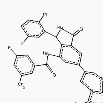 N#Cc1cnc2ncc(-c3cc(NC(=O)c4cc(F)cc(C(F)(F)F)c4)c4c(c3)C(=O)NC4c3cc(F)ccc3Cl)cn12